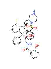 O=C(NCC(O)C(c1ccccc1)(c1ccccc1)c1cccc(F)c1CC[C@H]1CNCCN1S(=O)(=O)c1ccccc1)c1ccccc1O